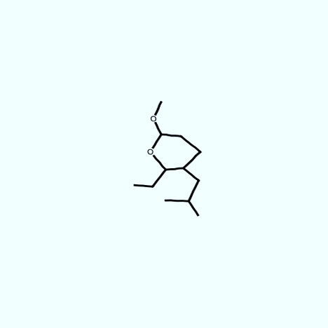 CCC1OC(OC)CCC1CC(C)C